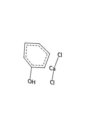 Oc1ccccc1.[Cl][Ca][Cl]